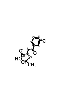 CC(=O)SC(CC(=O)c1cccc(Cl)c1)C(=O)O